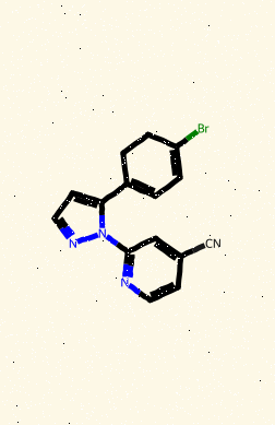 N#Cc1ccnc(-n2nccc2C2=CC=C(Br)CC2)c1